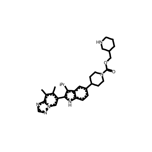 Cc1c(-c2[nH]c3ccc(C4CCN(C(=O)OCC5CCCNC5)CC4)cc3c2C(C)C)cn2ncnc2c1C